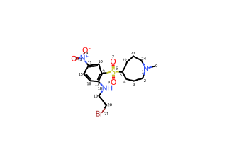 CN1CCCC(S(=O)(=O)c2cc([N+](=O)[O-])ccc2NCCBr)CCC1